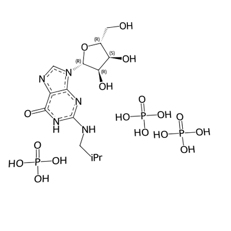 CC(C)CNc1nc2c(ncn2[C@@H]2O[C@H](CO)[C@@H](O)[C@H]2O)c(=O)[nH]1.O=P(O)(O)O.O=P(O)(O)O.O=P(O)(O)O